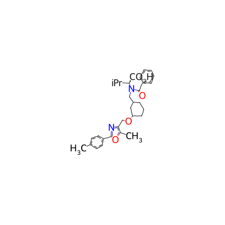 Cc1ccc(-c2nc(COC3CCCC(CN(C(=O)c4ccccc4)[C@H](C(=O)O)C(C)C)C3)c(C)o2)cc1